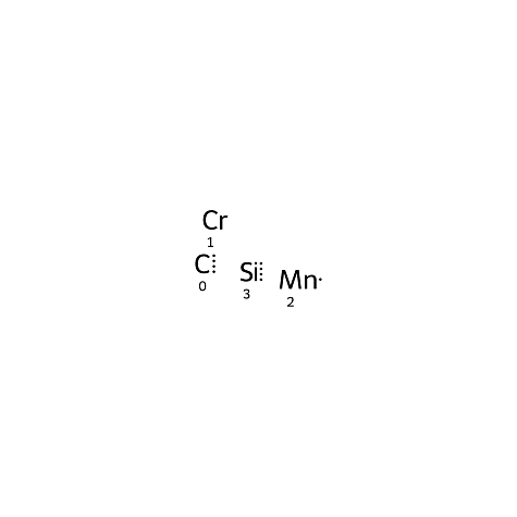 [C].[Cr].[Mn].[Si]